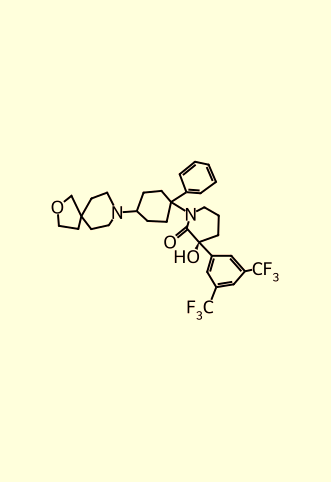 O=C1N(C2(c3ccccc3)CCC(N3CCC4(CCOC4)CC3)CC2)CCC[C@]1(O)c1cc(C(F)(F)F)cc(C(F)(F)F)c1